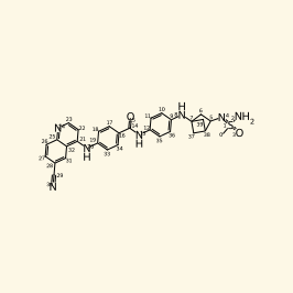 CS(N)(=O)=NC1CC2(Nc3ccc(NC(=O)c4ccc(Nc5ccnc6ccc(C#N)cc56)cc4)cc3)CC1C2